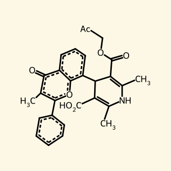 CC(=O)COC(=O)C1=C(C)NC(C)=C(C(=O)O)C1c1cccc2c(=O)c(C)c(-c3ccccc3)oc12